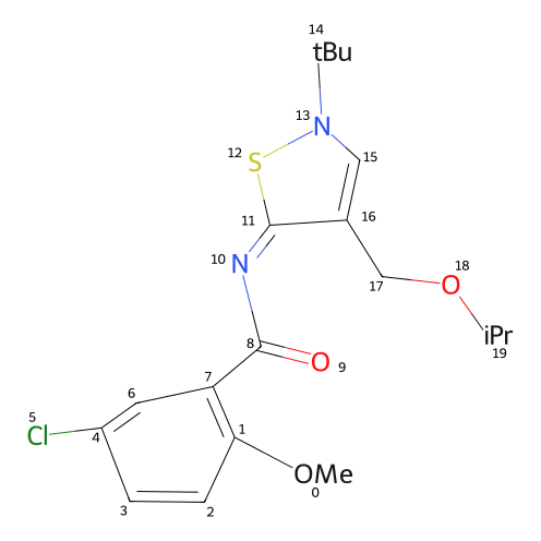 COc1ccc(Cl)cc1C(=O)N=c1sn(C(C)(C)C)cc1COC(C)C